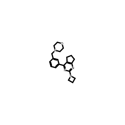 c1cc(CN2CCOCC2)cc(-c2nc(N3CCC3)nc3c2CCC3)c1